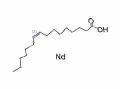 CCCCCC/C=C\CCCCCCCC(=O)O.[Nd]